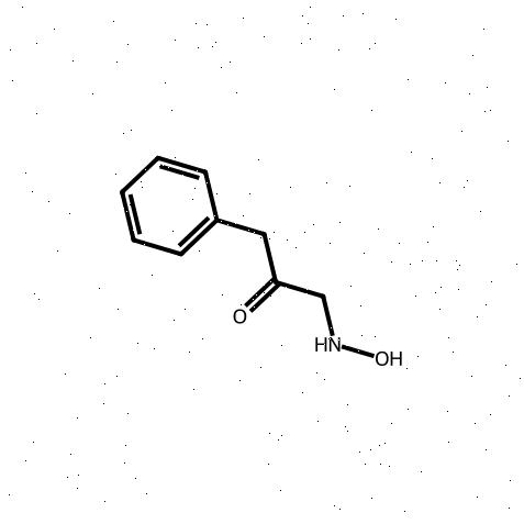 O=C(CNO)Cc1ccccc1